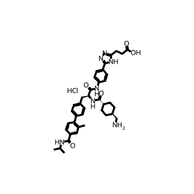 Cc1cc(C(=O)NC(C)C)ccc1-c1ccc(C[C@H](NC(=O)[C@H]2CC[C@H](CN)CC2)C(=O)Nc2ccc(-c3nnc(CCC(=O)O)[nH]3)cc2)cc1.Cl